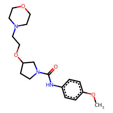 COc1ccc(NC(=O)N2CCC(OCCN3CCOCC3)C2)cc1